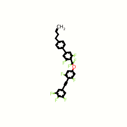 C=CCCc1ccc(-c2cc(F)c(C(F)(F)Oc3cc(F)c(C#Cc4cc(F)c(F)c(F)c4)c(F)c3)c(F)c2)cc1